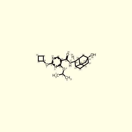 CC(C)Oc1nc(OC2CCC2)ncc1C(=O)N[C@H]1C2CC3CC1C[C@@](O)(C3)C2